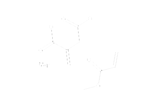 C=C(CC(=O)[O-])C(=O)[O-].C=CC(=O)OC.[Mg+2]